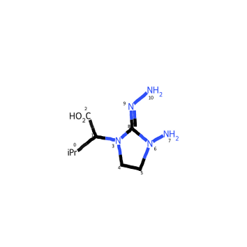 CC(C)C(C(=O)O)N1CCN(N)C1=NN